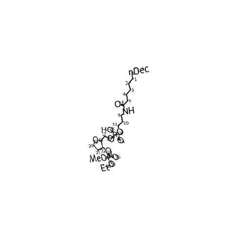 CCCCCCCCCCCCCCCC(=O)NCCCOP(=O)(O)OCC1OCCC1OP(=O)(OC)OCC